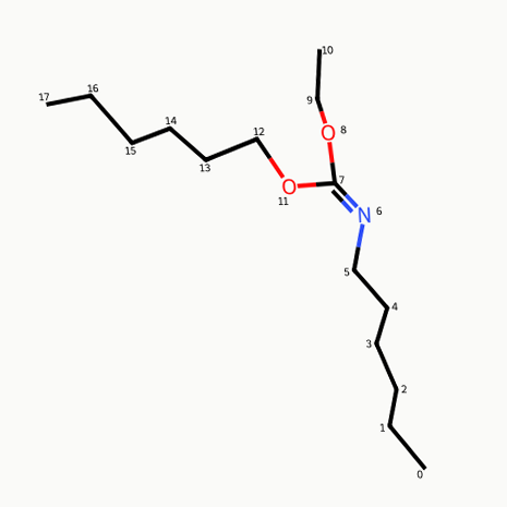 CCCCCCN=C(OCC)OCCCCCC